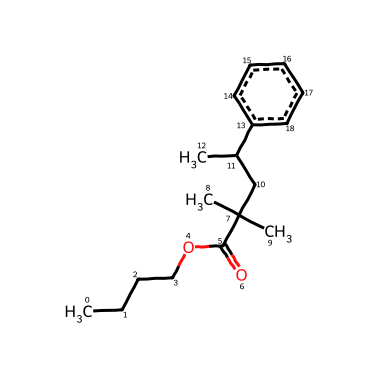 CCCCOC(=O)C(C)(C)CC(C)c1ccccc1